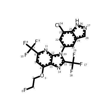 FCCOc1cc(C(F)(F)F)nc2c1nc(C(F)(F)F)n2-c1cc(Cl)c2[nH]ncc2c1